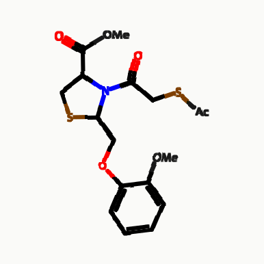 COC(=O)C1CSC(COc2ccccc2OC)N1C(=O)CSC(C)=O